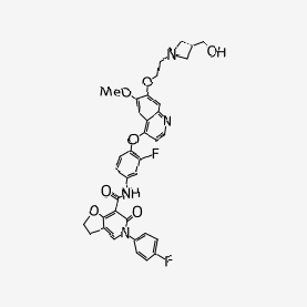 COc1cc2c(Oc3ccc(NC(=O)c4c5c(cn(-c6ccc(F)cc6)c4=O)CCO5)cc3F)ccnc2cc1OCCN1CC(CO)C1